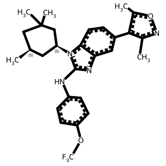 Cc1noc(C)c1-c1ccc2c(c1)nc(Nc1ccc(OC(F)(F)F)cc1)n2[C@H]1C[C@@H](C)CC(C)(C)C1